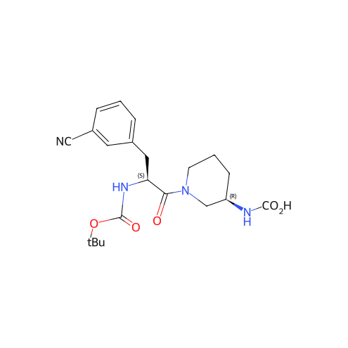 CC(C)(C)OC(=O)N[C@@H](Cc1cccc(C#N)c1)C(=O)N1CCC[C@@H](NC(=O)O)C1